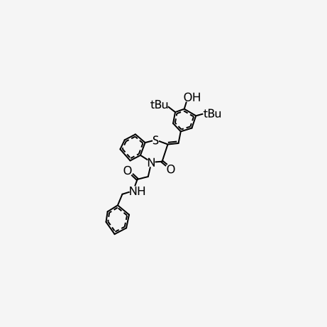 CC(C)(C)c1cc(/C=C2\Sc3ccccc3N(CC(=O)NCc3ccccc3)C2=O)cc(C(C)(C)C)c1O